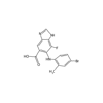 Cc1cc(Br)ccc1Nc1c(C(=O)O)cc2nc[nH]c2c1F